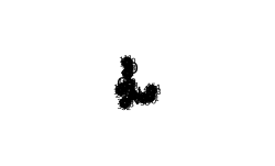 C1=C(c2ccc3c(c2)oc2ccccc23)C2Oc3ccccc3C2C(c2nc(-c3ccccc3)nc(-c3ccc4ccc5ccccc5c4c3)n2)=C1